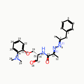 C/C(Cc1ccccc1)=N\N=C(/C)C(=O)N[C@H](C=O)COc1ccccc1N(C)C